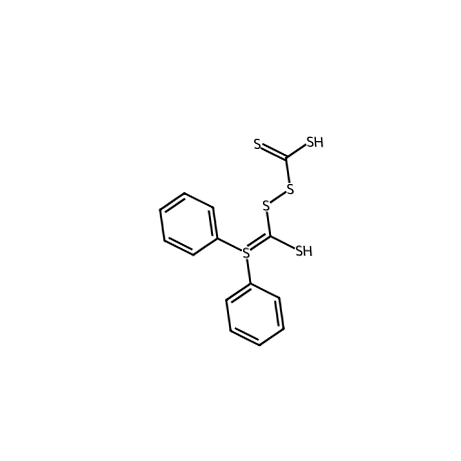 S=C(S)SSC(S)=S(c1ccccc1)c1ccccc1